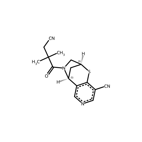 CC(C)(CC#N)C(=O)N1C[C@@H]2C[C@H]1c1cncc(C#N)c1S2